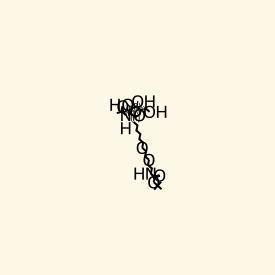 CC(=O)N[C@@H]1[C@@H](O)[C@@H](O)[C@@H](CO)O[C@@H]1CCCCCCOCCOCCNC(=O)OC(C)(C)C